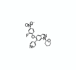 O=[N+]([O-])c1ccc(Oc2cc3cnn(C4CCCCO4)c3cc2-c2ccncc2)c(F)c1